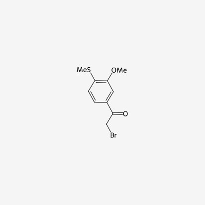 COc1cc(C(=O)CBr)ccc1SC